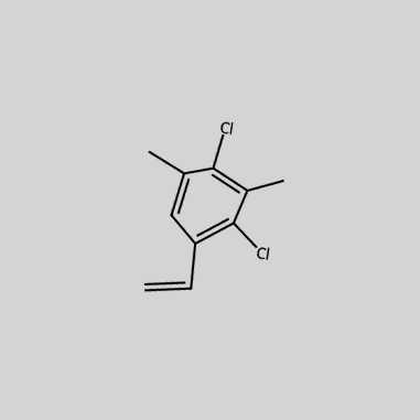 C=Cc1cc(C)c(Cl)c(C)c1Cl